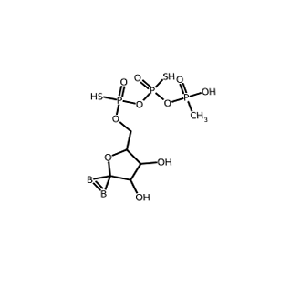 CP(=O)(O)OP(=O)(S)OP(=O)(S)OCC1OC2(B=B2)C(O)C1O